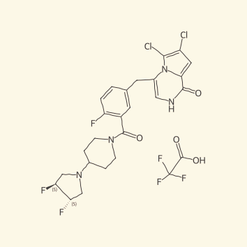 O=C(O)C(F)(F)F.O=C(c1cc(Cc2c[nH]c(=O)c3cc(Cl)c(Cl)n23)ccc1F)N1CCC(N2C[C@H](F)[C@@H](F)C2)CC1